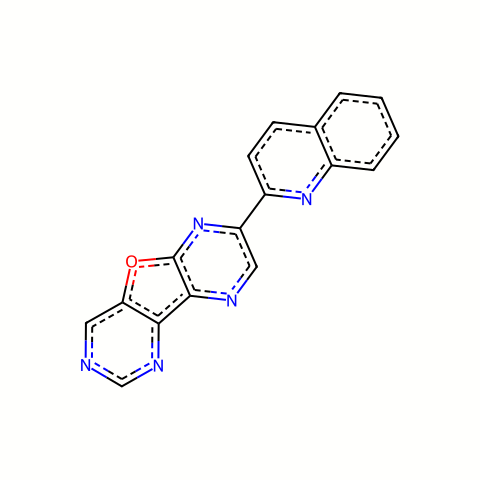 c1ccc2nc(-c3cnc4c(n3)oc3cncnc34)ccc2c1